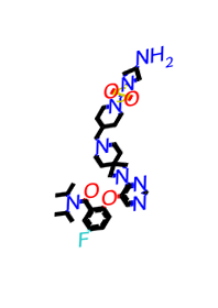 CC(C)N(C(=O)c1cc(F)ccc1Oc1cncnc1N1CC2(CCN(CC3CCN(S(=O)(=O)N4CC(N)C4)CC3)CC2)C1)C(C)C